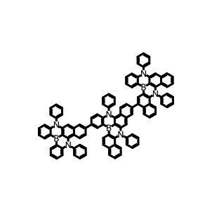 c1ccc(N2c3ccccc3B3c4ccccc4N(c4ccccc4)c4c3c2cc2cc(-c3ccc5c(c3)B3c6ccc7ccccc7c6N(c6ccccc6)c6cc7cc(-c8cc9c(c%10ccccc8%10)N(c8ccccc8)c8c%10c(cc%11ccccc8%11)N(c8ccccc8)c8ccccc8B9%10)ccc7c(c63)N5c3ccccc3)ccc42)cc1